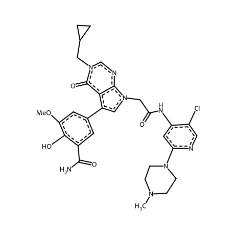 COc1cc(-c2cn(CC(=O)Nc3cc(N4CCN(C)CC4)ncc3Cl)c3ncn(CC4CC4)c(=O)c23)cc(C(N)=O)c1O